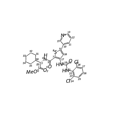 COC(=O)[C@@H](NC(=O)c1sc(-c2cccnc2)cc1NC(=O)Nc1c(Cl)cccc1Cl)C1CCCCC1